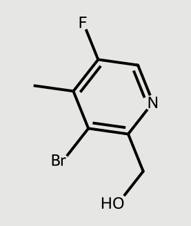 Cc1c(F)cnc(CO)c1Br